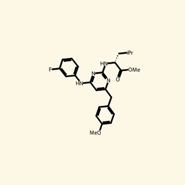 COC(=O)[C@@H](CC(C)C)Nc1nc(Cc2ccc(OC)cc2)cc(Nc2cccc(F)c2)n1